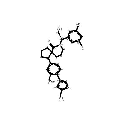 COc1cc(C2CCCC23CCCN([C@@H](CO)c2cc(F)cc(Cl)c2)C3=O)ccc1-n1cnc(C)c1